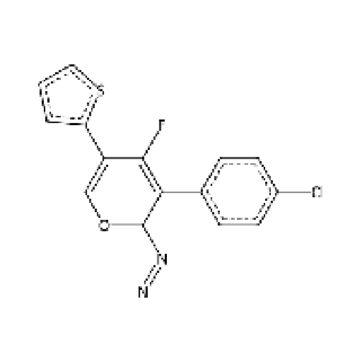 [N]=NC1OC=C(c2cccs2)C(F)=C1c1ccc(Cl)cc1